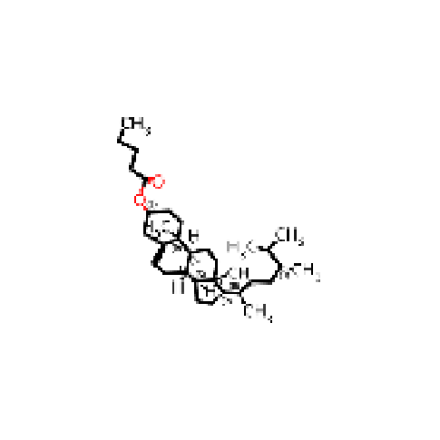 CCCCC(=O)O[C@H]1CC[C@@]2(C)C(=CC[C@H]3[C@@H]4CC[C@H]([C@H](C)CC[C@@H](C)C(C)C)[C@@]4(C)CC[C@@H]32)C1